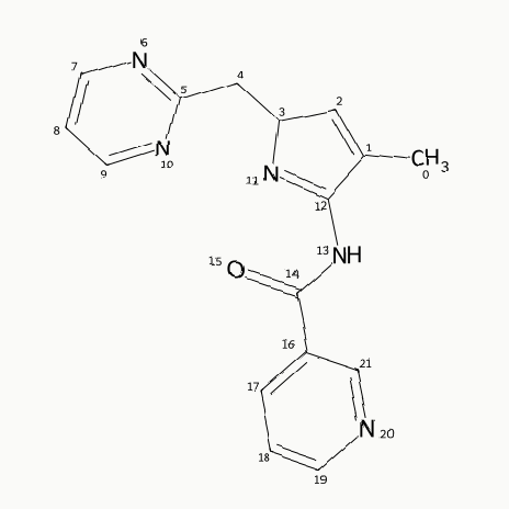 CC1=CC(Cc2ncccn2)N=C1NC(=O)c1cccnc1